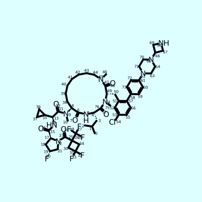 CC(C)C[C@@H]1NC(=O)[C@@H](N(C)C(=O)[C@@H](NC(=O)[C@@H]2C[C@@H](F)CN2C(=O)C2(C(F)(F)F)CC(F)(F)C2)C2CC2)CCCCCCCN(C)C(=O)[C@H](Cc2cc(Cl)ccc2-c2ccc(N3CCN(C4CNC4)CC3)cc2)N(C)C1=O